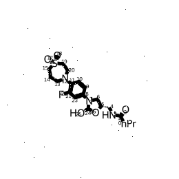 CCCC(=O)NC[C@H]1CN(c2ccc(N3CCCS(=O)(=O)CC3)c(F)c2)C(O)O1